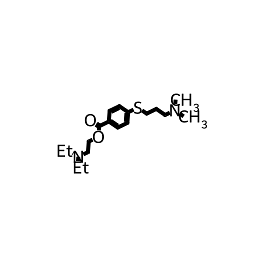 CCN(CC)CCOC(=O)c1ccc(SCCCN(C)C)cc1